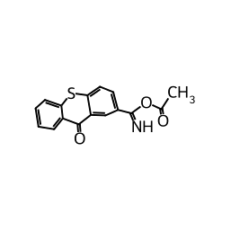 CC(=O)OC(=N)c1ccc2sc3ccccc3c(=O)c2c1